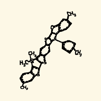 Cc1ccc(-n2c3c4ccc(C)cc4oc3c3sc4cc5c6c(sc5cc4c32)-c2sc3cc(C)ccc3c2[Si]6(C)C)cc1